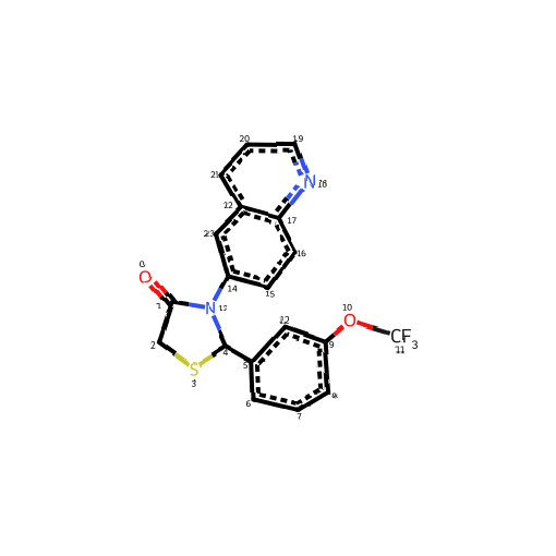 O=C1CSC(c2cccc(OC(F)(F)F)c2)N1c1ccc2ncccc2c1